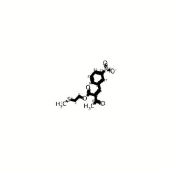 CSCCOC(=O)C(=Cc1cccc([N+](=O)[O-])c1)C(C)=O